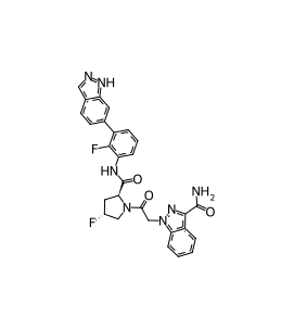 NC(=O)c1nn(CC(=O)N2C[C@H](F)C[C@H]2C(=O)Nc2cccc(-c3ccc4cn[nH]c4c3)c2F)c2ccccc12